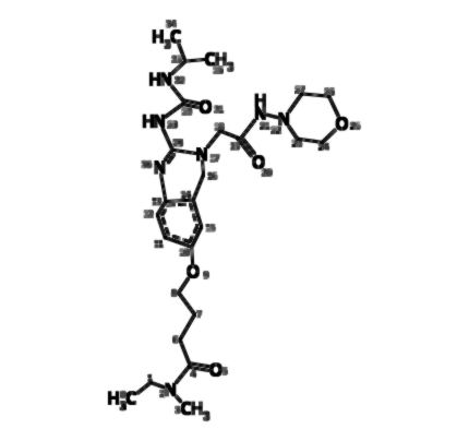 CCN(C)C(=O)CCCOc1ccc2c(c1)CN(CC(=O)NN1CCOCC1)C(NC(=O)NC(C)C)=N2